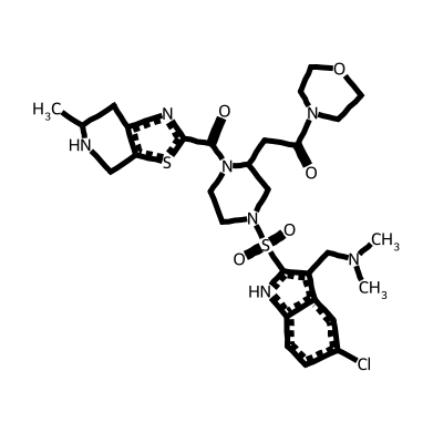 CC1Cc2nc(C(=O)N3CCN(S(=O)(=O)c4[nH]c5ccc(Cl)cc5c4CN(C)C)CC3CC(=O)N3CCOCC3)sc2CN1